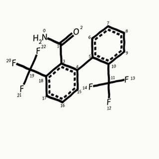 NC(=O)c1c(-c2ccccc2C(F)(F)F)cccc1C(F)(F)F